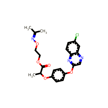 CC(C)=NOCCOC(=O)C(C)Oc1ccc(Oc2cnc3cc(Cl)ccc3n2)cc1